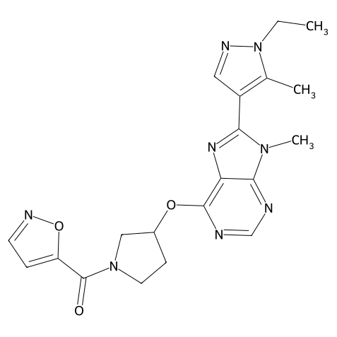 CCn1ncc(-c2nc3c(OC4CCN(C(=O)c5ccno5)C4)ncnc3n2C)c1C